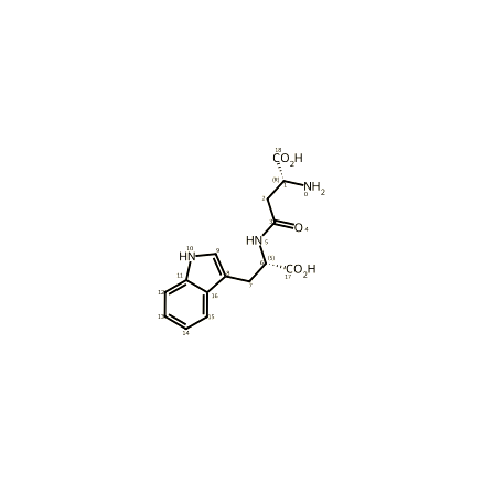 N[C@H](CC(=O)N[C@@H](Cc1c[nH]c2ccccc12)C(=O)O)C(=O)O